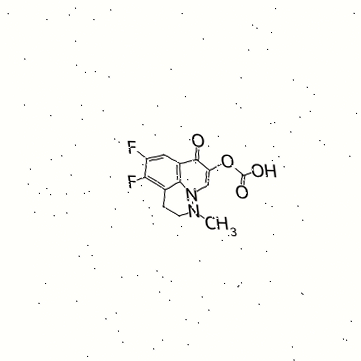 CN1CCc2c(F)c(F)cc3c(=O)c(OC(=O)O)cn1c23